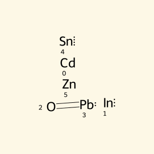 [Cd].[In].[O]=[Pb].[Sn].[Zn]